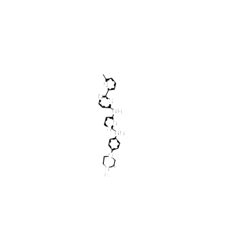 Cc1cccc(-c2nccc(Nc3ccnc(Nc4ccc(N5CCN[C@@H](C)C5)cc4)n3)n2)n1